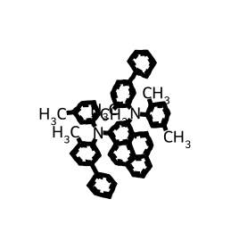 Cc1ccc(C)c(N(c2cc(-c3ccccc3)ccc2C)c2cc(N(c3cc(C)ccc3C)c3cc(-c4ccccc4)ccc3C)c3ccc4cccc5ccc2c3c54)c1